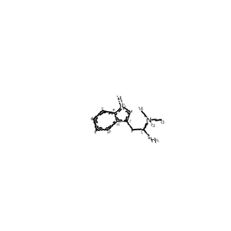 [2H]C(Cc1c[nH]c2ccccc12)N(C)C